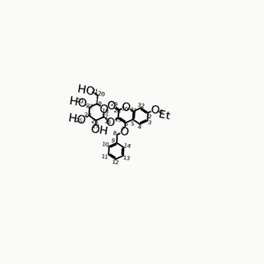 CCOc1ccc2c(OCc3ccccc3)c(O[C@@H]3O[C@H](CO)[C@@H](O)[C@H](O)[C@@H]3O)c(=O)oc2c1